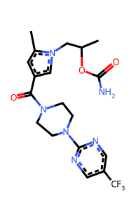 Cc1cc(C(=O)N2CCN(c3ncc(C(F)(F)F)cn3)CC2)cn1CC(C)OC(N)=O